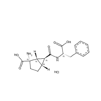 Cl.N[C@@]1(C(=O)O)CC[C@H]2[C@H](C(=O)N[C@@H](Cc3ccccc3)C(=O)O)[C@H]21